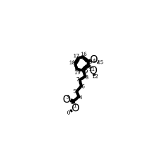 COC(=O)CCCCCC1=C(OC)C(OC)=CC=CC1